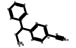 CCC(c1ccccc1)c1ccc(C#N)cc1